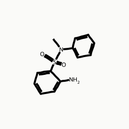 CN(c1ccccc1)S(=O)(=O)c1ccccc1N